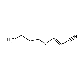 CCCCN/C=C/C#N